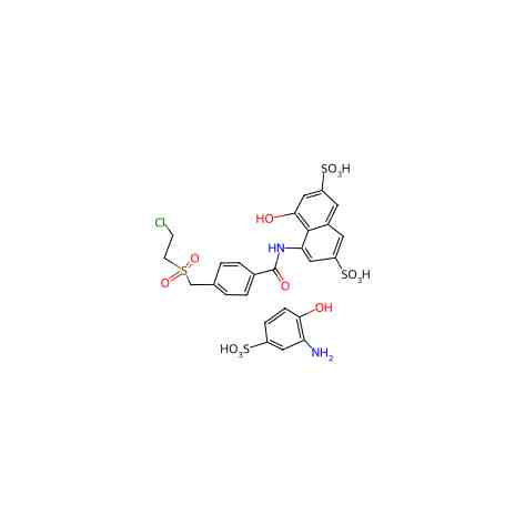 Nc1cc(S(=O)(=O)O)ccc1O.O=C(Nc1cc(S(=O)(=O)O)cc2cc(S(=O)(=O)O)cc(O)c12)c1ccc(CS(=O)(=O)CCCl)cc1